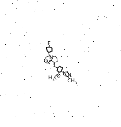 COc1cc(/C=C2\CCCN3C2=NOCC3c2ccc(F)cc2)ccc1-n1cnc(C)c1